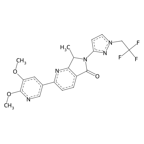 COc1cc(-c2ccc3c(n2)C(C)N(c2ccn(CC(F)(F)F)n2)C3=O)cnc1OC